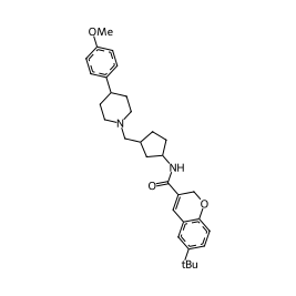 COc1ccc(C2CCN(CC3CCC(NC(=O)C4=Cc5cc(C(C)(C)C)ccc5OC4)C3)CC2)cc1